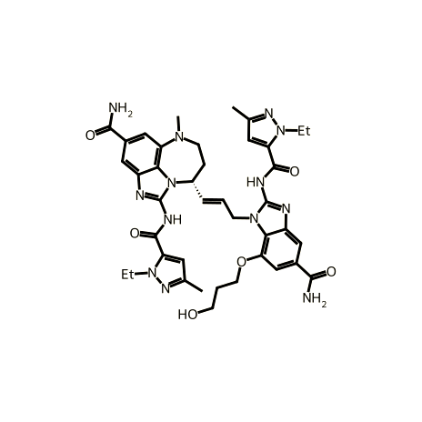 CCn1nc(C)cc1C(=O)Nc1nc2cc(C(N)=O)cc(OCCCO)c2n1C/C=C/[C@H]1CCN(C)c2cc(C(N)=O)cc3nc(NC(=O)c4cc(C)nn4CC)n1c23